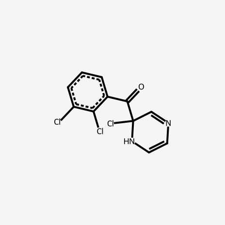 O=C(c1cccc(Cl)c1Cl)C1(Cl)C=NC=CN1